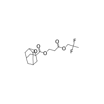 CC(F)(F)COC(=O)CCOC(=O)C12CC3CC(C1)C(=O)C(C3)C2